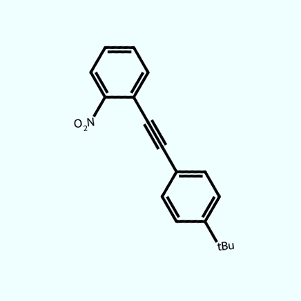 CC(C)(C)c1ccc(C#Cc2ccccc2[N+](=O)[O-])cc1